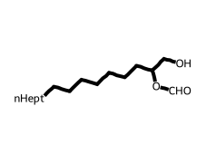 CCCCCCCCCCCCCCC(CO)OC=O